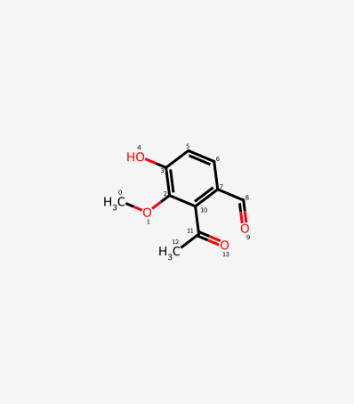 COc1c(O)ccc(C=O)c1C(C)=O